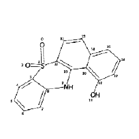 O=S1(=O)c2ccccc2Nc2c1ccc1cccc(O)c21